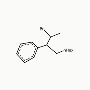 CCCCCCCC(c1ccccc1)C(C)Br